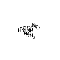 COc1c(Nc2cc(NC(=O)C3CC3)nnc2C(N)=O)cccc1-c1cnn(C2CCOC2)c1